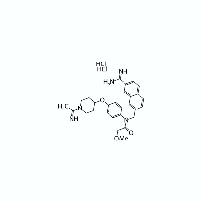 COCC(=O)N(Cc1ccc2ccc(C(=N)N)cc2c1)c1ccc(OC2CCN(C(C)=N)CC2)cc1.Cl.Cl